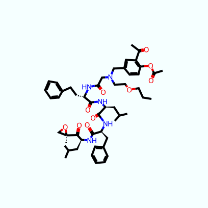 CCCOCCN(CC(=O)N[C@@H](CCc1ccccc1)C(=O)N[C@@H](CC(C)C)C(=O)N[C@@H](Cc1ccccc1)C(=O)N[C@@H](CC(C)C)C(=O)[C@@]1(C)CO1)Cc1ccc(OC(C)=O)c(C(C)=O)c1